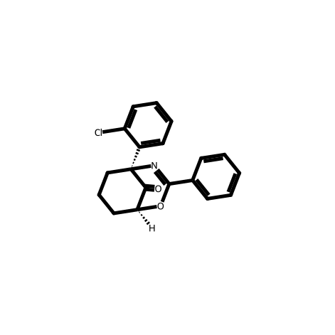 O=C1[C@@H]2CCC[C@@]1(c1ccccc1Cl)N=C(c1ccccc1)O2